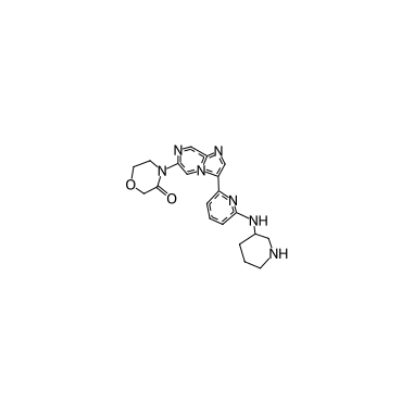 O=C1COCCN1c1cn2c(-c3cccc(NC4CCCNC4)n3)cnc2cn1